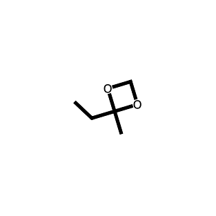 CCC1(C)OCO1